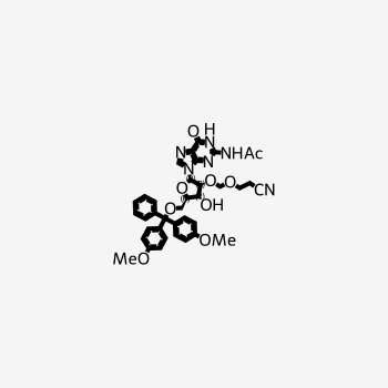 COc1ccc(C(OC[C@H]2O[C@@H](n3cnc4c(=O)[nH]c(NC(C)=O)nc43)[C@H](OCOCCC#N)[C@@H]2O)(c2ccccc2)c2ccc(OC)cc2)cc1